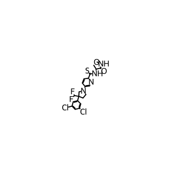 O=C1NOCC1NC(=S)c1ccc(N2CCC(c3cc(Cl)cc(Cl)c3)(C(F)F)C2)cn1